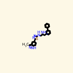 Cc1n[nH]c2ccc(-c3nnc(NC[C@@H](N)Cc4cccc(-c5ccccc5)c4)s3)cc12